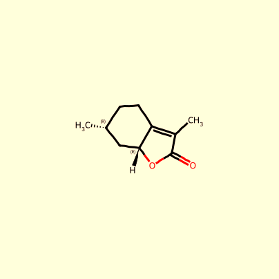 CC1=C2CC[C@@H](C)C[C@H]2OC1=O